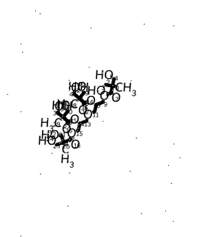 CC(CO)(CO)C(=O)OCC(COCC(COC(=O)C(C)(CO)CO)OC(=O)C(C)(CO)CO)OC(=O)C(C)(CO)CO